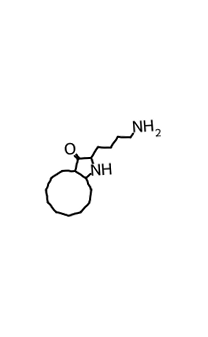 NCCCCC1NC2CCCCCCCCCC2C1=O